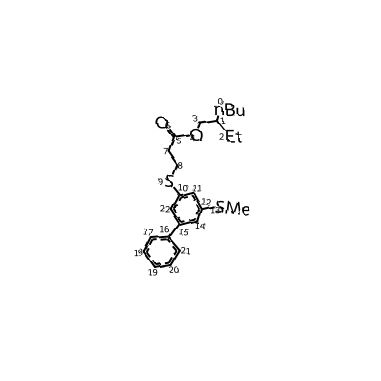 CCCCC(CC)COC(=O)CCSc1cc(SC)cc(-c2ccccc2)c1